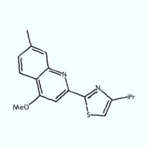 COc1cc(-c2nc(C(C)C)cs2)nc2cc(C)ccc12